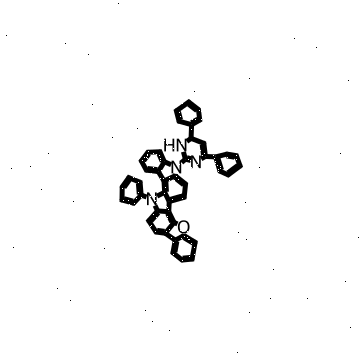 C1=C(c2ccccc2)N=C(n2c3ccccc3c3c2ccc2c4c5oc6ccccc6c5ccc4n(-c4ccccc4)c23)NC1c1ccccc1